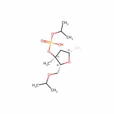 B[C@H]1C[C@](C)(OP(=O)(O)OC(C)C)[C@@H](COC(C)C)O1